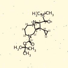 CN(C)C(=O)c1nn2c(c1C1CC1)CN(C(=O)OC(C)(C)C)CCC2